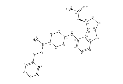 CN(CCc1ccccn1)C1CCC(Oc2cccc3c2C2=C(CC[C@@H]2CC(N)=O)C3)CC1